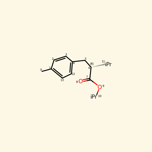 Cc1ccc(C[C@@H](C(=O)OC(C)C)C(C)C)cc1